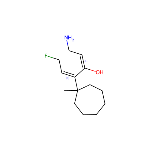 CC1(C(=C/CF)/C(O)=C\CN)CCCCCC1